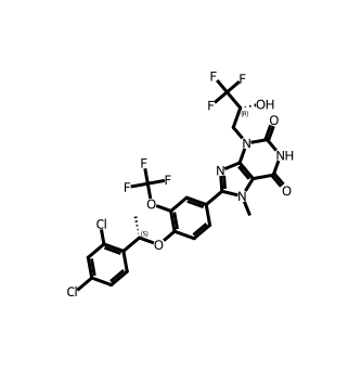 C[C@H](Oc1ccc(-c2nc3c(c(=O)[nH]c(=O)n3C[C@@H](O)C(F)(F)F)n2C)cc1OC(F)(F)F)c1ccc(Cl)cc1Cl